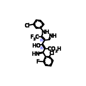 N=CC(/C(O)=C(/C(=N)c1c(F)cccc1Cl)C(=O)O)=C(\Nc1cccc(Cl)c1)C(F)(F)F